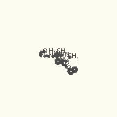 CCOC(=O)c1[nH]c2c(-c3c(CNCCCN4CCCC4=O)nn(C)c3CC)cccc2c1CCCOc1cccc2ccccc12